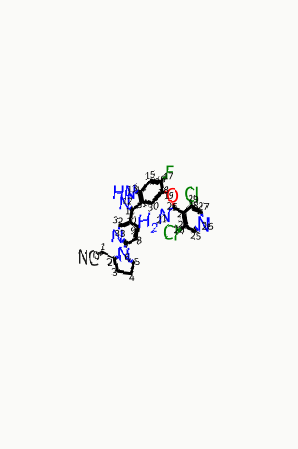 N#CC[C@@H]1CCCN1c1ccc(-c2n[nH]c3cc(F)c(O[C@H](N)c4c(Cl)cncc4Cl)cc23)cn1